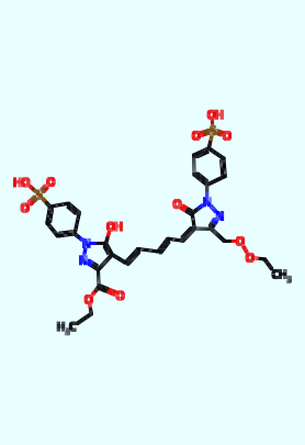 CCOOCC1=NN(c2ccc(S(=O)(=O)O)cc2)C(=O)/C1=C\C=CC=Cc1c(C(=O)OCC)nn(-c2ccc(S(=O)(=O)O)cc2)c1O